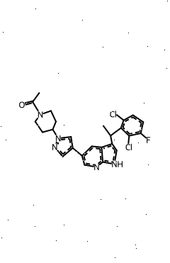 CC(=O)N1CCC(n2cc(-c3cnc4[nH]cc(C(C)c5c(Cl)ccc(F)c5Cl)c4c3)cn2)CC1